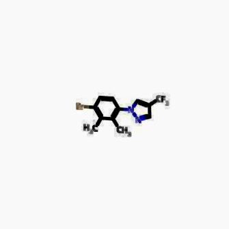 Cc1c(Br)ccc(-n2cc(C(F)(F)F)cn2)c1C